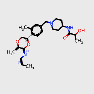 C=C1OC[C@H](c2ccc(CN3CCC(NC(=O)C(C)O)CC3)cc2C)O/C1=N/C=C\C